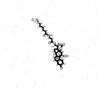 CCC(=O)O[C@@]1(C(=O)COC(=O)CCNC(=O)CCCCCO[N+](=O)[O-])[C@@H](C)C[C@H]2[C@@H]3CCC4=CC(=O)C=C[C@]4(C)[C@@]3(Cl)[C@@H](O)CC21C